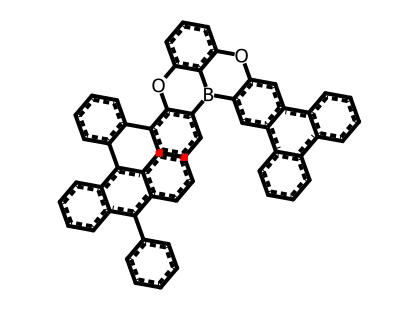 c1ccc(-c2c3ccccc3c(-c3ccccc3-c3cccc4c3Oc3cccc5c3B4c3cc4c6ccccc6c6ccccc6c4cc3O5)c3ccccc23)cc1